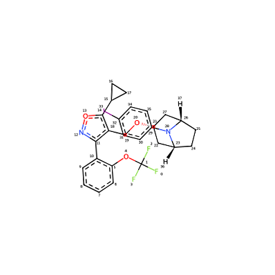 FC(F)(F)Oc1ccccc1-c1noc(C2CC2)c1CO[C@H]1C[C@H]2CC[C@@H](C1)N2c1ccc(I)cc1